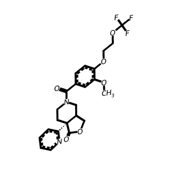 COc1cc(C(=O)N2CC[C@]3(c4ccccn4)C(=O)OCC3C2)ccc1OCCOC(F)(F)F